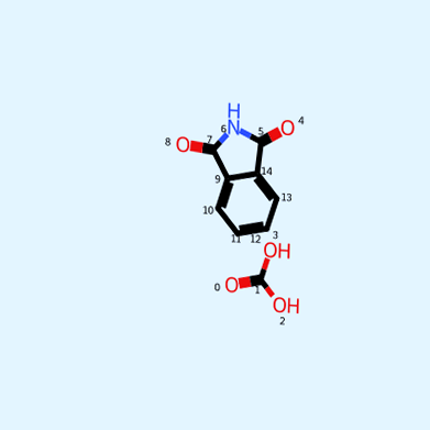 O=C(O)O.O=C1NC(=O)c2ccccc21